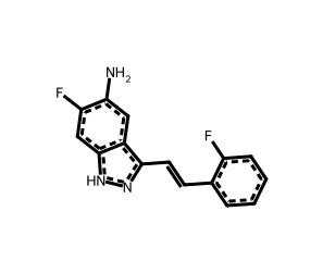 Nc1cc2c(C=Cc3ccccc3F)n[nH]c2cc1F